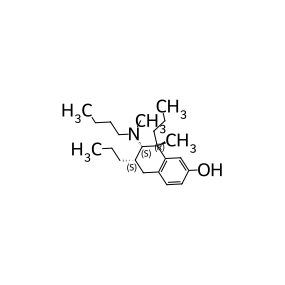 CCCCN(C)[C@H]1[C@@H](CCC)Cc2ccc(O)cc2[C@@]1(C)CCC